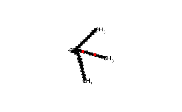 CCCCCCCCCCCCCCCCCCC1CC(C[O])CC(CCCCCCCCCCCCCCCCCC)C1CCCCCCCCCCCCCCCCCC